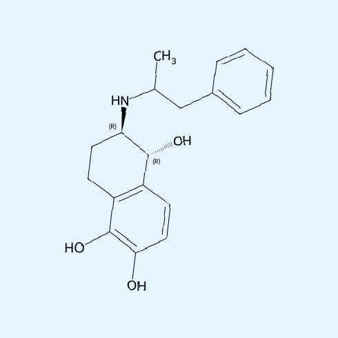 CC(Cc1ccccc1)N[C@@H]1CCc2c(ccc(O)c2O)[C@H]1O